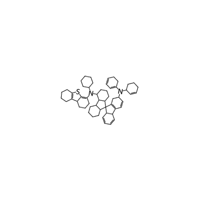 C1=CCCC(N(C2C=CCCC2)C2C=CC3=C(C2)C2(C4C=CC=CC34)C3CCCCC3C3C(N(C4=C5SC6=C(CCCC6)C5CCC4)C4CCCCC4)CCCC32)=C1